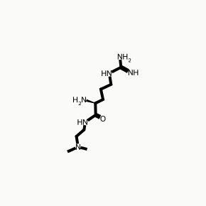 CN(C)CCNC(=O)[C@@H](N)CCCNC(=N)N